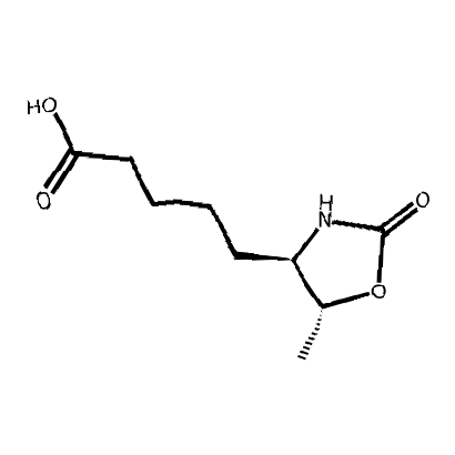 C[C@H]1OC(=O)N[C@@H]1CCCCC(=O)O